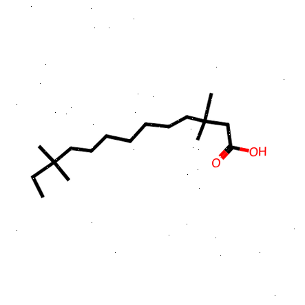 CCC(C)(C)CCCCCCCC(C)(C)CC(=O)O